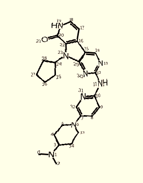 CN(C)C1CCN(c2ccc(Nc3ncc4c5cc[nH]c(=O)c5n(C5CCCC5)c4n3)nc2)CC1